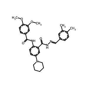 COc1ccc(C(=O)Nc2ccc(N3CCCCC3)cc2C(=O)N/N=C/c2ccc(C)c(C)c2)cc1OC